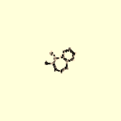 CN1C(Cl)=CC=Cc2ccccc21